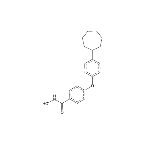 O=C(NO)c1ccc(Oc2ccc(C3CCCCCC3)cc2)cc1